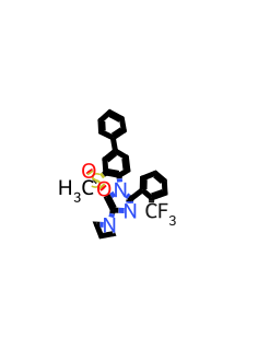 CS(=O)(=O)c1cc(-c2ccccc2)ccc1-n1cc(N2CCC2)nc1-c1ccccc1C(F)(F)F